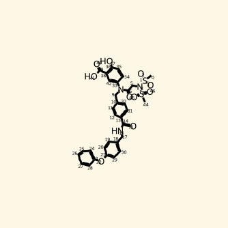 CS(=O)(=O)N(CC(=O)N(Cc1ccc(C(=O)NCc2ccc(Oc3ccccc3)cc2)cc1)c1ccc(O)c(C(=O)O)c1)S(C)(=O)=O